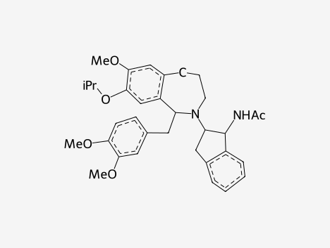 COc1ccc(CC2c3cc(OC(C)C)c(OC)cc3CCCN2C2Cc3ccccc3C2NC(C)=O)cc1OC